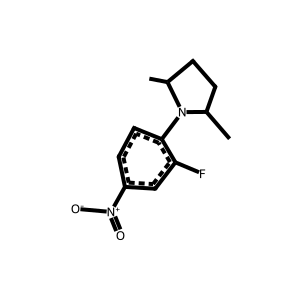 CC1CCC(C)N1c1ccc([N+](=O)[O-])cc1F